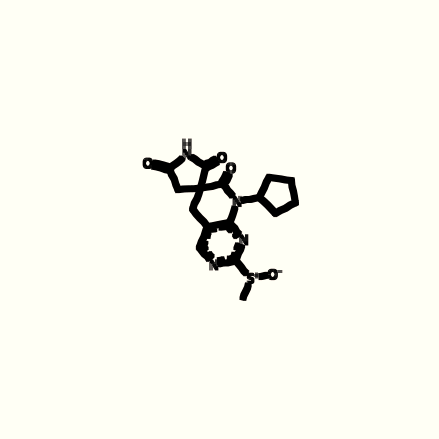 C[S+]([O-])c1ncc2c(n1)N(C1CCCC1)C(=O)C1(CC(=O)NC1=O)C2